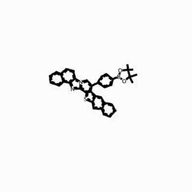 CC1(C)OB(c2ccc(-c3cn4c5ccc6ccccc6c5nc4c4sc5cc6ccccc6cc5c34)cc2)OC1(C)C